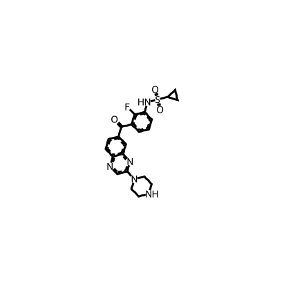 O=C(c1ccc2ncc(N3CCNCC3)nc2c1)c1cccc(NS(=O)(=O)C2CC2)c1F